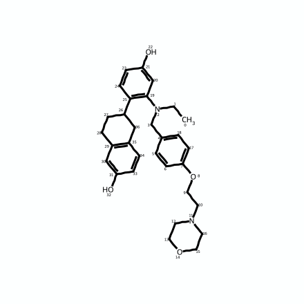 CCN(Cc1ccc(OCCN2CCOCC2)cc1)c1cc(O)ccc1C1CCc2cc(O)ccc2C1